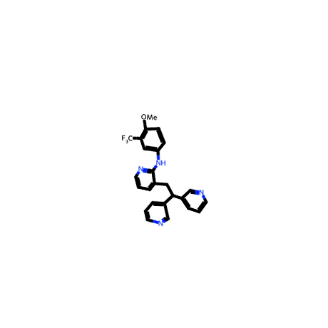 COc1ccc(Nc2ncccc2CC(c2cccnc2)c2cccnc2)cc1C(F)(F)F